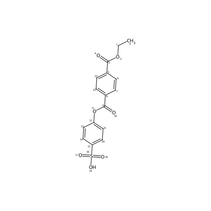 CCOC(=O)c1ccc(C(=O)Oc2ccc(S(=O)(=O)O)cc2)cc1